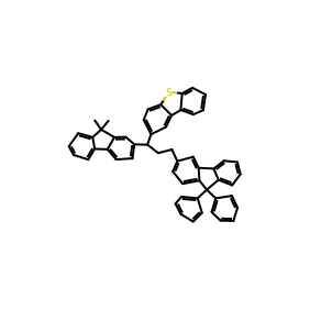 CC1(C)c2ccccc2-c2ccc(C(CCc3ccc4c(c3)-c3ccccc3C4(c3ccccc3)c3ccccc3)c3ccc4sc5ccccc5c4c3)cc21